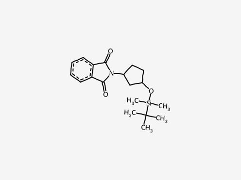 CC(C)(C)[Si](C)(C)OC1CCC(N2C(=O)c3ccccc3C2=O)C1